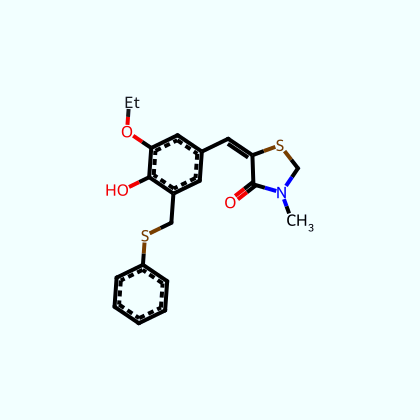 CCOc1cc(C=C2SCN(C)C2=O)cc(CSc2ccccc2)c1O